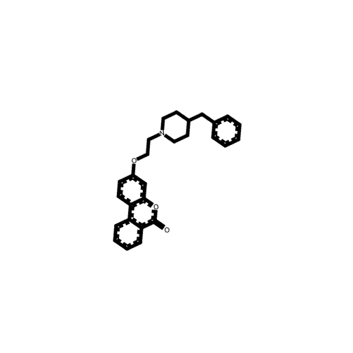 O=c1oc2cc(OCCN3CCC(Cc4ccccc4)CC3)ccc2c2ccccc12